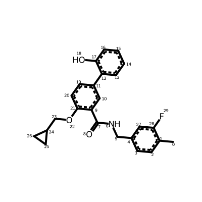 Cc1ccc(CNC(=O)c2cc(-c3ccccc3O)ccc2OCC2CC2)cc1F